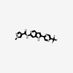 Cn1cc(C(=O)Nc2cc3[nH]c(-c4cnc(C(F)(F)F)cn4)cc3cn2)cn1